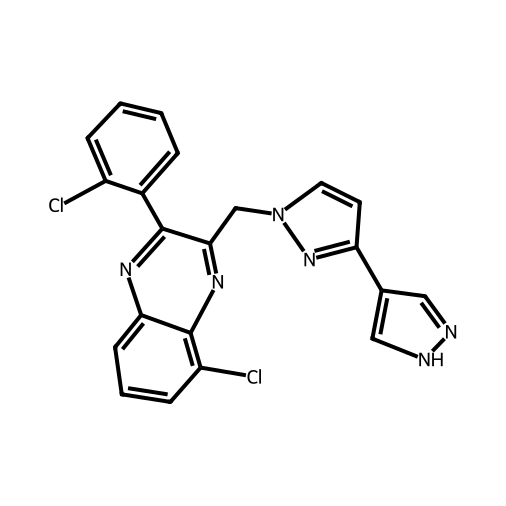 Clc1ccccc1-c1nc2cccc(Cl)c2nc1Cn1ccc(-c2cn[nH]c2)n1